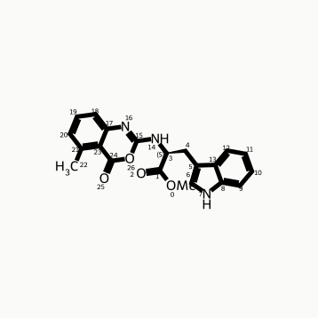 COC(=O)[C@H](Cc1c[nH]c2ccccc12)Nc1nc2cccc(C)c2c(=O)o1